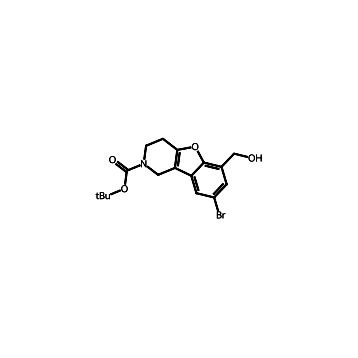 CC(C)(C)OC(=O)N1CCc2oc3c(CO)cc(Br)cc3c2C1